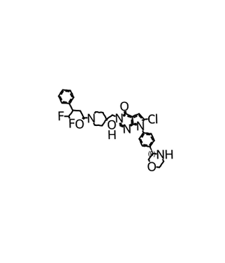 O=C(CC(c1ccccc1)C(F)F)N1CCC(O)(Cn2cnc3c(cc(Cl)n3-c3ccc([C@@H]4COCCN4)cc3)c2=O)CC1